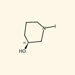 O[C@H]1CCCN(I)C1